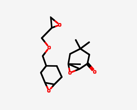 C1CC2OC2CC1COCC1CO1.CC1(C)CC(=O)C2OC2(C)C1